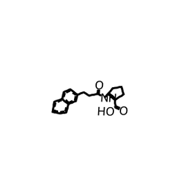 O=C(CCc1ccc2ccccc2c1)NC1=C(C(=O)O)CCC1